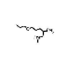 BC(CCCOCCC)CNC